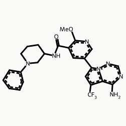 COc1ncc(-c2cc(C(F)(F)F)c3c(N)ncnn23)cc1C(=O)NC1CCCN(c2ccccc2)C1